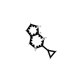 c1cc2cnc(C3CC3)nc2s1